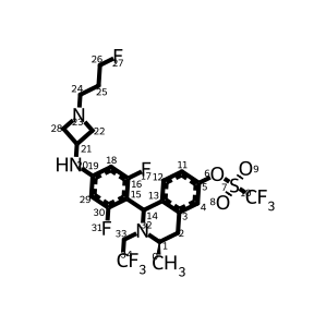 C[C@@H]1Cc2cc(OS(=O)(=O)C(F)(F)F)ccc2C(c2c(F)cc(NC3CN(CCCF)C3)cc2F)N1CC(F)(F)F